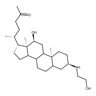 CC(=O)CC[C@@H](C)[C@H]1CCC2C3CCC4C[C@H](NCCO)CC[C@]4(C)C3C[C@H](O)[C@@]21C